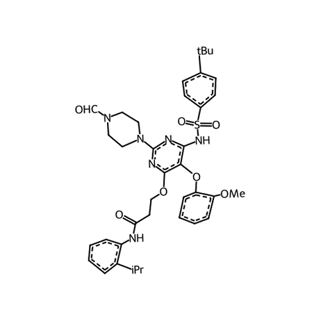 COc1ccccc1Oc1c(NS(=O)(=O)c2ccc(C(C)(C)C)cc2)nc(N2CCN(C=O)CC2)nc1OCCC(=O)Nc1ccccc1C(C)C